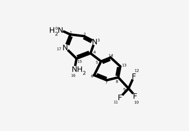 Nc1cnc(-c2ccc(C(F)(F)F)cc2)c(N)n1